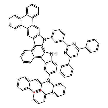 c1ccc(-c2cc(-c3ccccc3)nc(-c3cccc(-n4c5cc6c7ccccc7c7ccccc7c6cc5c5c6ccccc6c6c7cc(N(c8ccc9ccccc9c8)c8ccccc8-c8ccccc8)ccc7[nH]c6c54)c3)n2)cc1